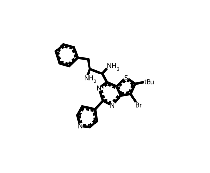 CC(C)(C)c1sc2c(C(N)C(N)Cc3ccccc3)nc(-c3ccncc3)nc2c1Br